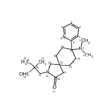 CN(C)C1(c2ccccn2)CCC2(CC1)CC(=O)N(CC(C)(C)C=O)C2